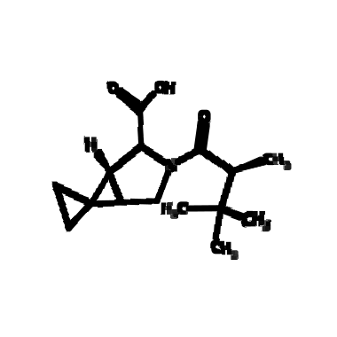 C[C@H](C(=O)N1CC2[C@@H](C1C(=O)O)C21CC1)C(C)(C)C